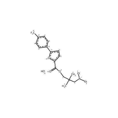 CCN(CC)CC(C)(C)COC(=O)c1ccc(-c2ccc(C(F)(F)F)cc2)o1.Cl